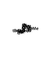 COC(=O)c1cc(N2CCOc3ccc(O[C@H]4CCN(C(=O)OC(C)(C)C)C4)cc32)cnc1OC